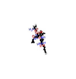 C=Cc1cc(C(=O)Nc2ccc(C(=N)NC(=O)OCCCCCC)cc2)c(-c2ccc(C(=O)NCC3CC3)nc2C(=O)OCOC(=O)[C@@H](N)C(C)CC)cc1OC